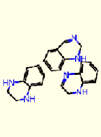 C1=NCNc2ccccc21.C1=Nc2ccccc2NC1.c1ccc2c(c1)NCCN2